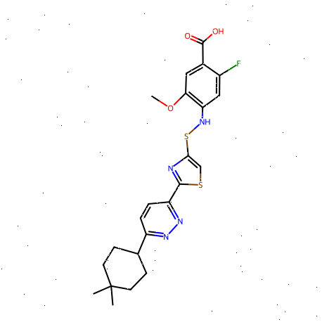 COc1cc(C(=O)O)c(F)cc1NSc1csc(-c2ccc(C3CCC(C)(C)CC3)nn2)n1